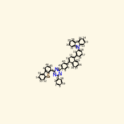 c1ccc(-c2nc(-c3ccc(-c4ccc(-c5cccc(-n6c7ccccc7c7ccccc76)c5)c5ccccc45)cc3)nc(-c3cccc4c3sc3ccccc34)n2)cc1